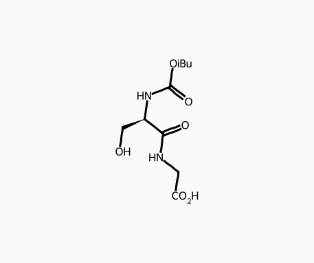 CC(C)COC(=O)N[C@H](CO)C(=O)NCC(=O)O